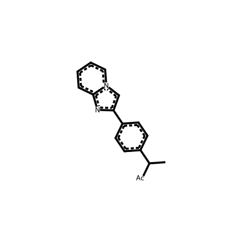 CC(=O)C(C)c1ccc(-c2cn3ccccc3n2)cc1